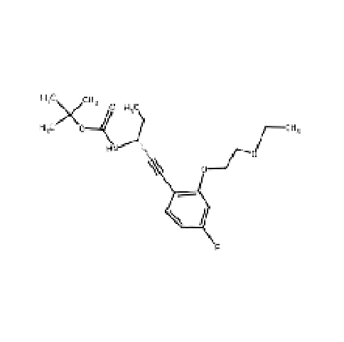 CCOCCOc1cc(F)ccc1C#C[C@@H](CC)NC(=O)OC(C)(C)C